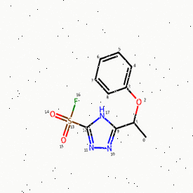 CC(Oc1ccccc1)c1nnc(S(=O)(=O)F)[nH]1